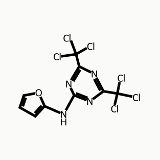 ClC(Cl)(Cl)c1nc(Nc2ccco2)nc(C(Cl)(Cl)Cl)n1